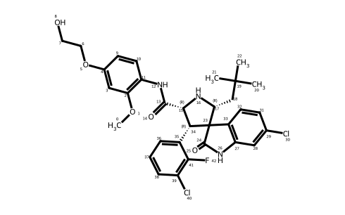 COc1cc(OCCO)ccc1NC(=O)[C@@H]1N[C@H](CC(C)(C)C)C2(C(=O)Nc3cc(Cl)ccc32)[C@@H]1c1cccc(Cl)c1F